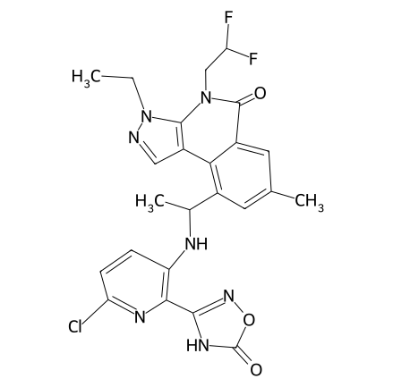 CCn1ncc2c3c(C(C)Nc4ccc(Cl)nc4-c4noc(=O)[nH]4)cc(C)cc3c(=O)n(CC(F)F)c21